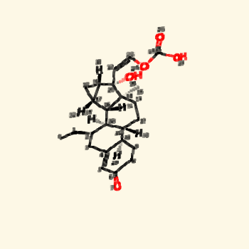 CC[C@@H]1CC2=CC(=O)CC[C@@H]2[C@H]2CC[C@@]3(C)[C@@H]([C@@H]4C[C@@H]4[C@@]3(O)/C=C\OC(=O)O)[C@H]12